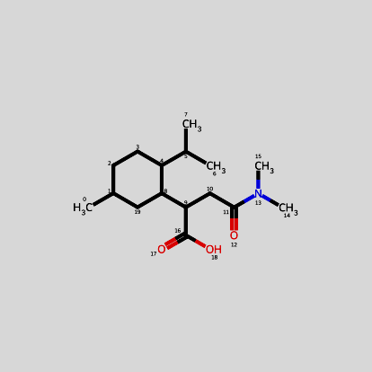 CC1CCC(C(C)C)C(C(CC(=O)N(C)C)C(=O)O)C1